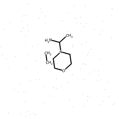 CC(N)N1CCOCC1.[CH2]C